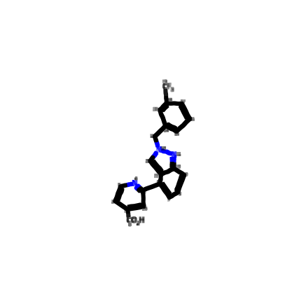 O=C(O)c1ccnc(-c2cccc3nn(Cc4cccc(C(F)(F)F)c4)cc23)c1